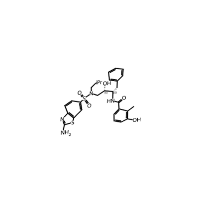 Cc1c(O)cccc1C(=O)N[C@@H](Cc1ccccc1)[C@@H](O)CN(CC(C)C)S(=O)(=O)c1ccc2nc(N)sc2c1